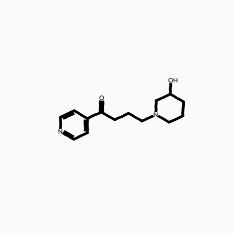 O=C(CCCN1CCCC(O)C1)c1ccncc1